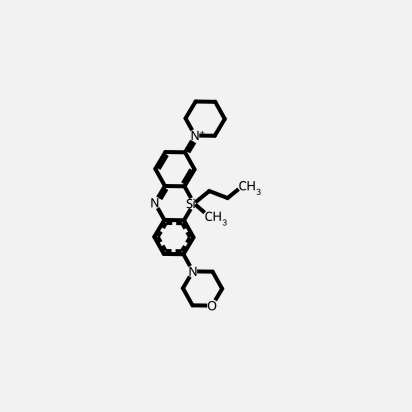 CCC[Si]1(C)C2=CC(=[N+]3CCCCC3)C=CC2=Nc2ccc(N3CCOCC3)cc21